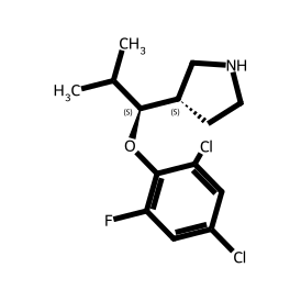 CC(C)[C@H](Oc1c(F)cc(Cl)cc1Cl)[C@H]1CCNC1